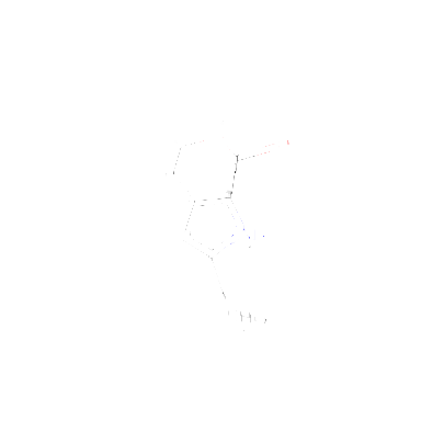 O=Cc1cc2c([nH]1)C(=O)OCC2